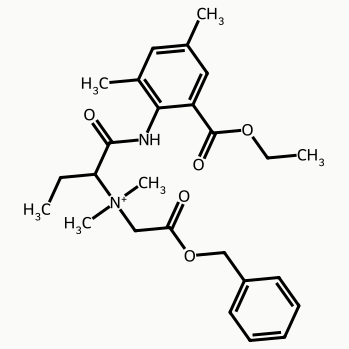 CCOC(=O)c1cc(C)cc(C)c1NC(=O)C(CC)[N+](C)(C)CC(=O)OCc1ccccc1